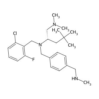 CNCc1ccc(CN(Cc2c(F)cccc2Cl)[C@H](CN(C)C)CC(C)(C)C)cc1